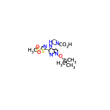 C[Si](C)(C)CCOCn1ccc2c(NC3CCCN(C(=O)O)C3)c(-c3ncc(S(C)(=O)=O)s3)cnc21